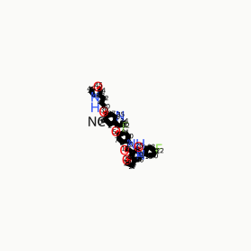 N#Cc1cc2c(Oc3ccc(NC(=O)c4c5c(cn(-c6ccc(F)cc6)c4=O)CCO5)cc3F)ccnc2cc1OCCCC1COCCN1